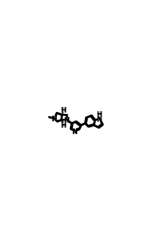 CN1C[C@H]2CN(c3cncc(-c4ccc5[nH]ccc5c4)c3)[C@@H]2C1